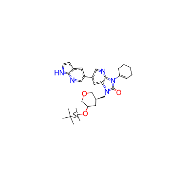 CC(C)(C)[Si](C)(C)O[C@H]1COC[C@@H](Cn2c(=O)n(C3=CCCCC3)c3ncc(-c4cnc5[nH]ccc5c4)cc32)C1